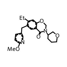 CCc1cc2c(cc1Cc1ccc(OC)nc1)C(=O)N(C1CCCOC1)CO2